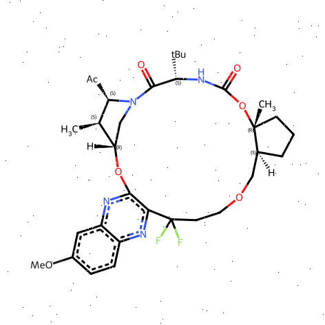 COc1ccc2nc3c(nc2c1)O[C@H]1CN(C(=O)[C@H](C(C)(C)C)NC(=O)O[C@]2(C)CCC[C@H]2COCCC3(F)F)[C@H](C(C)=O)[C@@H]1C